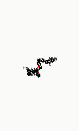 CCc1cccc2cc(O)cc(-c3ncc4c(N5CC6CCC(C5)N6)nc(OCC5(CN6CCC7(CC6)CC(C)(CN6CCN(c8ccc9c(c8)CN([C@H]8CCC(=O)NC8=O)C9=O)CC6)C7)CC5)nc4c3F)c12